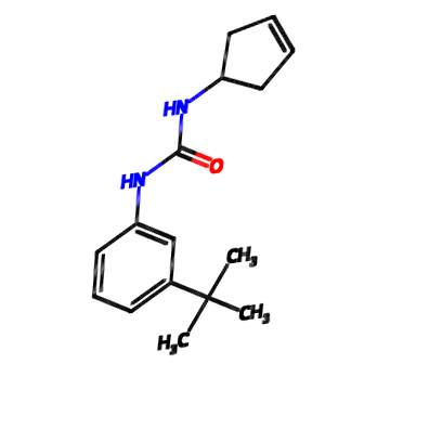 CC(C)(C)c1cccc(NC(=O)NC2CC=CC2)c1